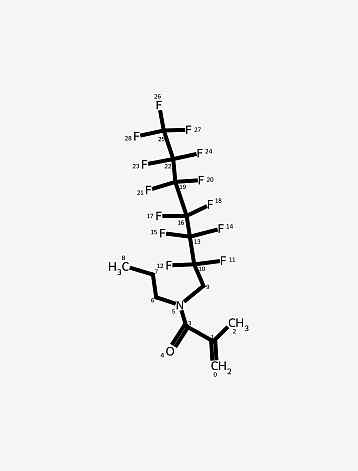 C=C(C)C(=O)N(CCC)CC(F)(F)C(F)(F)C(F)(F)C(F)(F)C(F)(F)C(F)(F)F